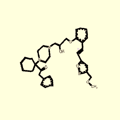 COCc1cc(/C=C/c2ccccc2OCC(O)CN2CCN(C3(C(=O)Cc4ccccc4)CCCCC3)CC2)on1